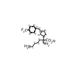 BCCCCC(N)(C(=O)O)C1CCN(Cc2ccc(C(F)(F)F)cc2)C1